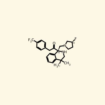 CC1(C)CN[C@@](CN2CC[C@H](F)C2)(C(=O)Cc2ccc(C(F)(F)F)cc2)c2ccccc21